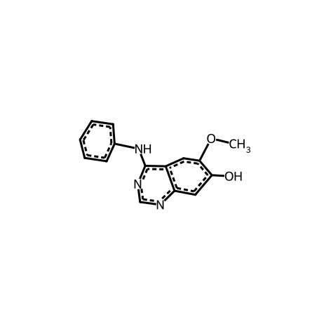 COc1cc2c(Nc3ccccc3)ncnc2cc1O